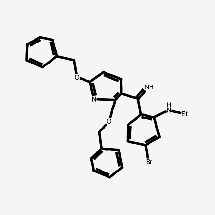 CCNc1cc(Br)ccc1C(=N)c1ccc(OCc2ccccc2)nc1OCc1ccccc1